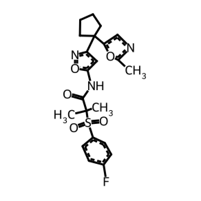 Cc1ncc(C2(c3cc(NC(=O)C(C)(C)S(=O)(=O)c4ccc(F)cc4)on3)CCCC2)o1